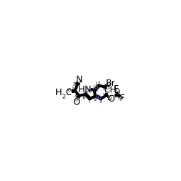 C=C(C#N)C(=O)c1cc(=C/C(C)OC(F)F)/c(=C\CBr)[nH]1